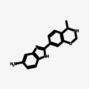 CC1NCOc2cc(-c3nc4cc(N)ccc4[nH]3)ccc21